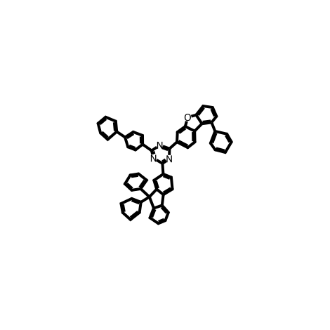 c1ccc(-c2ccc(-c3nc(-c4ccc5c(c4)C(c4ccccc4)(c4ccccc4)c4ccccc4-5)nc(-c4ccc5c(c4)oc4cccc(-c6ccccc6)c45)n3)cc2)cc1